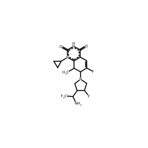 CC1c2c(c(=O)[nH]c(=O)n2C2CC2)C=C(F)C1N1CC(F)C(C(N)C(F)(F)F)C1